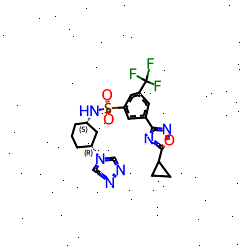 O=S(=O)(N[C@H]1CCC[C@@H](n2cnnc2)C1)c1cc(-c2noc(C3CC3)n2)cc(C(F)(F)F)c1